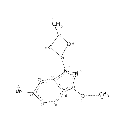 COc1nn(C2OC(C)O2)c2cc(Br)ccc12